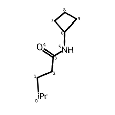 CC(C)CCC(=O)NC1CCC1